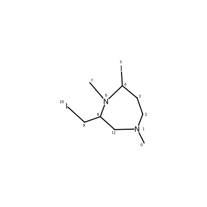 CN1CCC(I)N(C)C(CI)C1